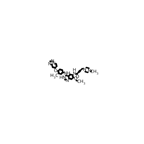 CCOc1cc2c(cc1NC(=O)C#CCN1CCN(C)CC1)C(Nc1ccc(Oc3ccn4ncnc4c3)c(C)c1)NC=N2